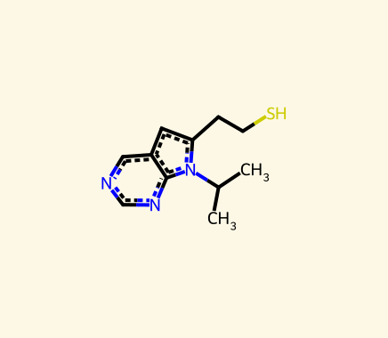 CC(C)n1c(CCS)cc2cncnc21